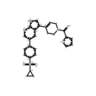 O=C(c1cccs1)N1CC=C(c2c[nH]c3ncc(-c4ccc(S(=O)(=O)C5CC5)cc4)cc23)CC1